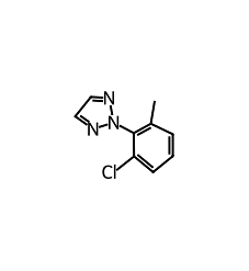 Cc1cccc(Cl)c1-n1nccn1